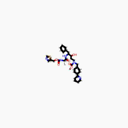 COC(=O)N(CCC(O)C(Cc1ccccc1)NC(=O)[C@H](C)NC(=O)OCc1cncs1)Cc1ccc(-c2ccccn2)cc1